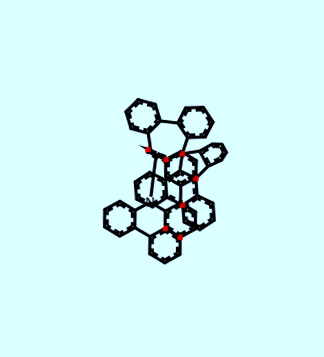 c1ccc(-c2ccccc2N(c2ccc3c(c2)C2(c4ccccc4-c4ccccc4-3)c3ccccc3-c3c2c2ccccc2c2ccccc32)c2ccccc2-c2ccccc2)cc1